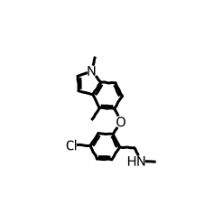 CNCc1ccc(Cl)cc1Oc1ccc2c(ccn2C)c1C